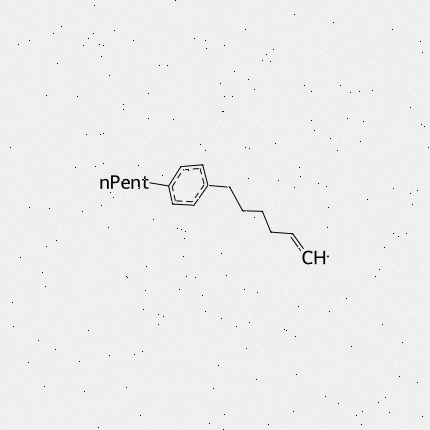 [CH]=CCCCCc1ccc(CCCCC)cc1